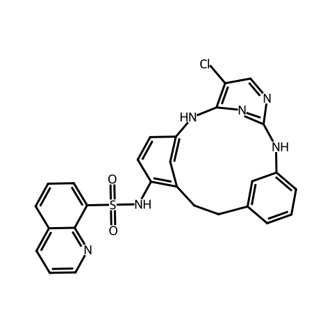 O=S(=O)(Nc1ccc2cc1CCc1cccc(c1)Nc1ncc(Cl)c(n1)N2)c1cccc2cccnc12